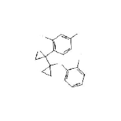 Cc1ccc(C2(C3(Oc4ccccc4C)CC3)CO2)c(F)c1